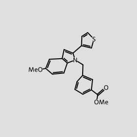 COC(=O)c1cccc(Cn2c(-c3ccsc3)cc3cc(OC)ccc32)c1